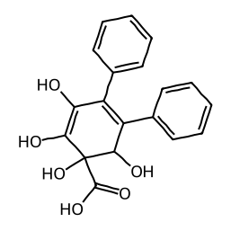 O=C(O)C1(O)C(O)=C(O)C(c2ccccc2)=C(c2ccccc2)C1O